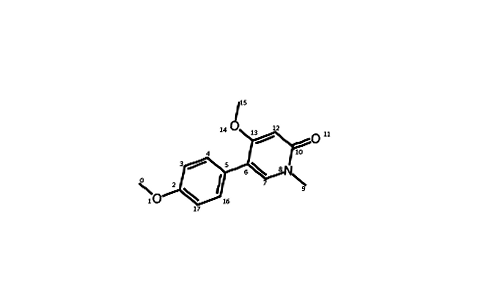 COc1ccc(-c2cn(C)c(=O)cc2OC)cc1